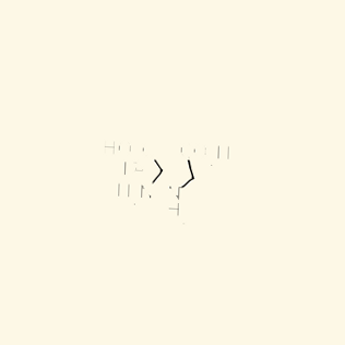 NCC(=O)O.NCC(=O)O.[Fe]